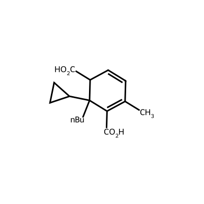 CCCCC1(C2CC2)C(C(=O)O)=C(C)C=CC1C(=O)O